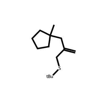 C=C(CSC(C)(C)C)CC1(C)CCCC1